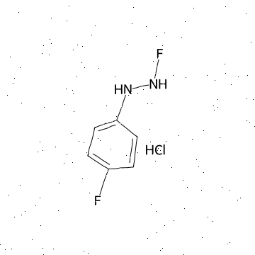 Cl.FNNc1ccc(F)cc1